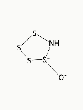 [O-][s+]1[nH]sss1